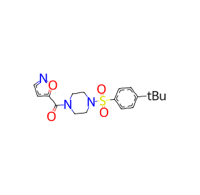 CC(C)(C)c1ccc(S(=O)(=O)N2CCN(C(=O)c3ccno3)CC2)cc1